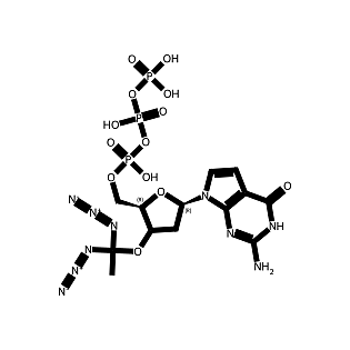 CC(N=[N+]=[N-])(N=[N+]=[N-])OC1C[C@H](n2ccc3c(=O)[nH]c(N)nc32)O[C@@H]1COP(=O)(O)OP(=O)(O)OP(=O)(O)O